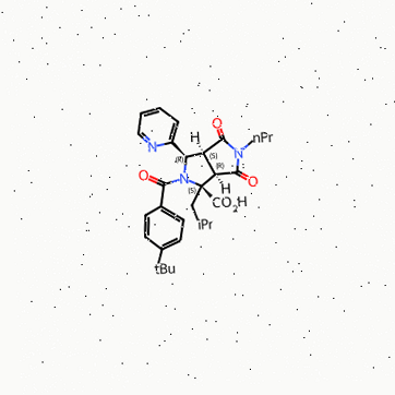 CCCN1C(=O)[C@H]2[C@@H](C1=O)[C@@](CC(C)C)(C(=O)O)N(C(=O)c1ccc(C(C)(C)C)cc1)[C@H]2c1ccccn1